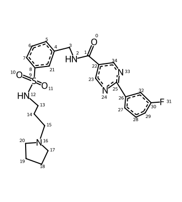 O=C(NCc1cccc(S(=O)(=O)NCCCN2CCCC2)c1)c1cnc(-c2cccc(F)c2)nc1